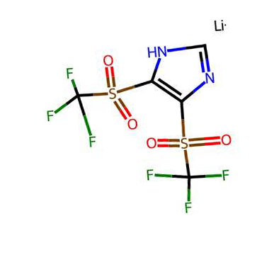 O=S(=O)(c1nc[nH]c1S(=O)(=O)C(F)(F)F)C(F)(F)F.[Li]